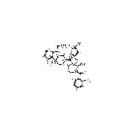 CCC[C@H]1N(C(=O)c2ncccc2C(F)(F)F)CCC[C@@]1(Oc1csc(C(F)(F)F)c1)C(=O)N1CCC(N)(c2ccccc2CCC(=O)O)CC1